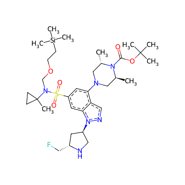 C[C@H]1CN(c2cc(S(=O)(=O)N(COCC[Si](C)(C)C)C3(C)CC3)cc3c2cnn3[C@H]2CN[C@H](CF)C2)C[C@H](C)N1C(=O)OC(C)(C)C